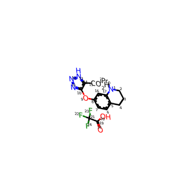 CC(C)N1CCCc2ccc(Oc3nn[nH]c3C(=O)O)cc21.O=C(O)C(F)(F)F